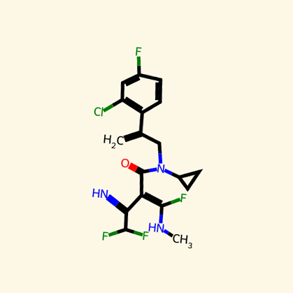 C=C(CN(C(=O)/C(C(=N)C(F)F)=C(\F)NC)C1CC1)c1ccc(F)cc1Cl